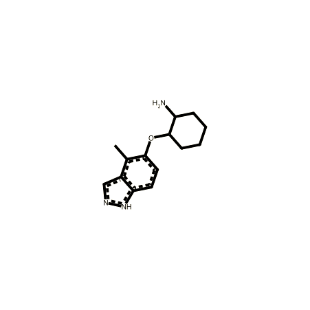 Cc1c(OC2CCCCC2N)ccc2[nH]ncc12